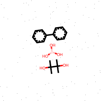 CC(C)(O)C(C)(C)O.OB(O)O.c1ccc(-c2ccccc2)cc1